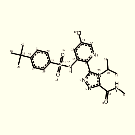 CNC(=O)c1nnc(-c2ncc(Cl)cc2NS(=O)(=O)c2ccc(C(C)(C)C)cc2)n1C(C)C